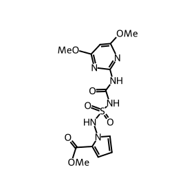 COC(=O)c1cccn1NS(=O)(=O)NC(=O)Nc1nc(OC)cc(OC)n1